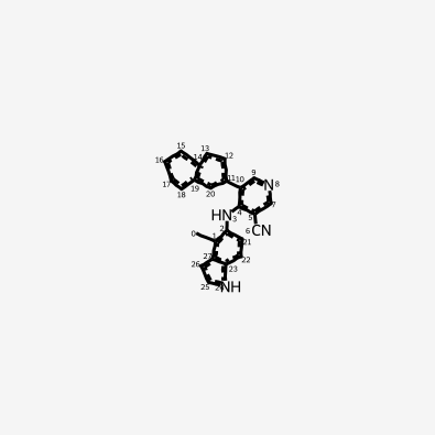 Cc1c(Nc2c(C#N)cncc2-c2ccc3ccccc3c2)ccc2[nH]ccc12